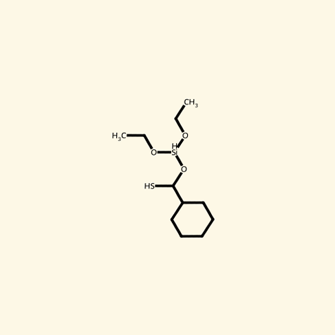 CCO[SiH](OCC)OC(S)C1CCCCC1